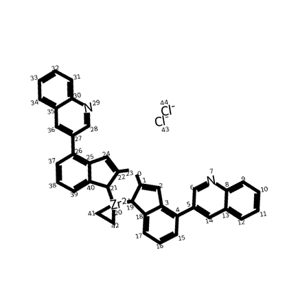 CC1=Cc2c(-c3cnc4ccccc4c3)cccc2[CH]1[Zr+2]1([CH]2C(C)=Cc3c(-c4cnc5ccccc5c4)cccc32)[CH2][CH2]1.[Cl-].[Cl-]